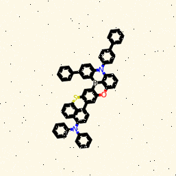 c1ccc(-c2ccc(N3c4ccc(-c5ccccc5)cc4B4c5cc6c(cc5Oc5cccc3c54)-c3ccc(N(c4ccccc4)c4ccccc4)c4cccc(c34)S6)cc2)cc1